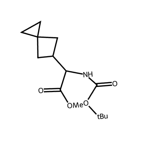 COC(=O)C(NC(=O)OC(C)(C)C)C1CC2(CC2)C1